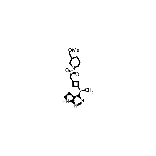 COCC1CCCN(S(=O)(=O)CC2CC(N(C)c3ncnc4[nH]ccc34)C2)C1